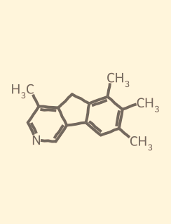 Cc1cc2c(c(C)c1C)Cc1c(C)cncc1-2